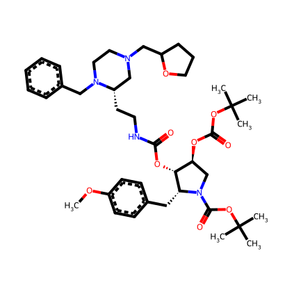 COc1ccc(C[C@@H]2[C@H](OC(=O)NCC[C@H]3CN(CC4CCCO4)CCN3Cc3ccccc3)[C@@H](OC(=O)OC(C)(C)C)CN2C(=O)OC(C)(C)C)cc1